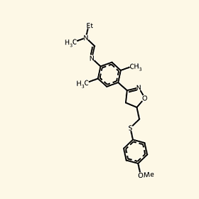 CCN(C)/C=N/c1cc(C)c(C2=NOC(CSc3ccc(OC)cc3)C2)cc1C